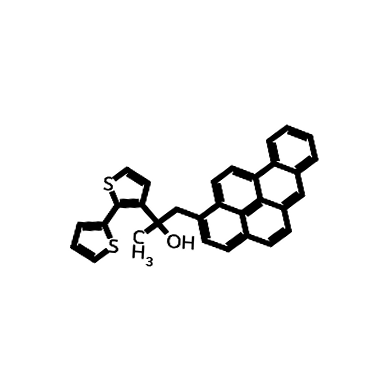 CC(O)(Cc1ccc2ccc3cc4ccccc4c4ccc1c2c34)c1ccsc1-c1cccs1